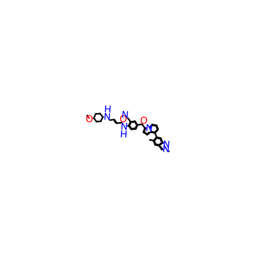 CO[C@H]1CC[C@H](NC/C=C/C(=O)Nc2ccc(C(=O)c3ccc4c(-c5cc6nn(C)cc6cc5C)cccn34)cc2C#N)CC1